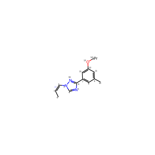 C/C=C\n1cnc(-c2cc(C)cc(OC(C)C)c2)n1